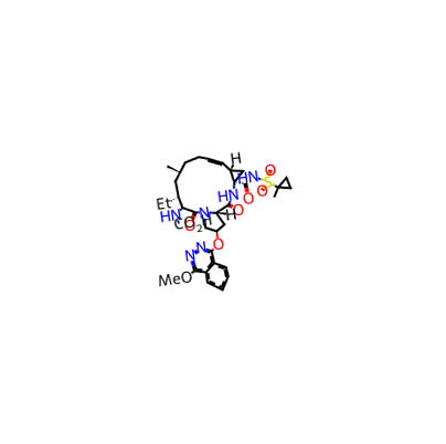 CC[C@@H]1C[C@@H](C)CCC=C[C@@H]2C[C@@]2(C(=O)NS(=O)(=O)C2(C)CC2)NC(=O)[C@@H]2C[C@@H](Oc3nnc(OC)c4ccccc34)CN2C(=O)[C@H]1NC(=O)O